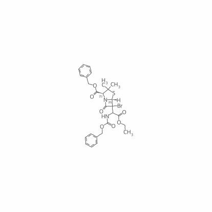 CCOC(=O)C(NC(=O)OCc1ccccc1)C1(Br)C(=O)N2[C@@H](C(=O)OCc3ccccc3)C(C)(C)S[C@@H]21